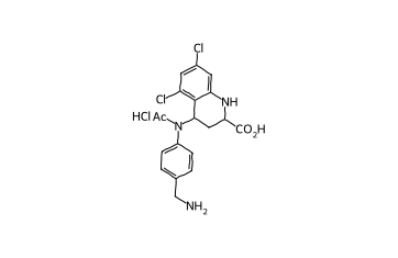 CC(=O)N(c1ccc(CN)cc1)C1CC(C(=O)O)Nc2cc(Cl)cc(Cl)c21.Cl